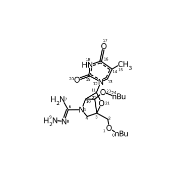 CCCCOCC12CN(C(N)=NN)C(C(n3cc(C)c(=O)[nH]c3=O)O1)C2OCCCC